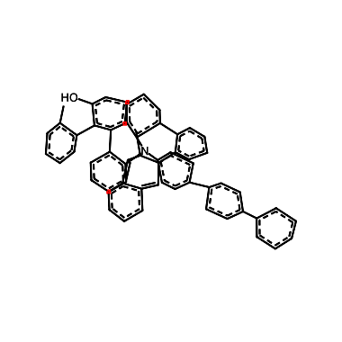 Cc1ccccc1-c1c(O)cccc1-c1ccccc1N(c1ccc(-c2ccc(-c3ccccc3)cc2)cc1)c1ccccc1-c1ccccc1C1C=c2ccccc2=CC1C